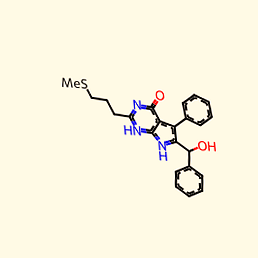 CSCCCc1nc(=O)c2c(-c3ccccc3)c(C(O)c3ccccc3)[nH]c2[nH]1